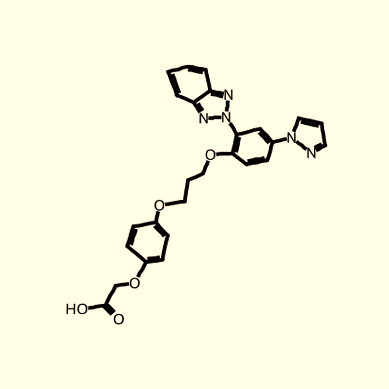 O=C(O)COc1ccc(OCCCOc2ccc(-n3cccn3)cc2-n2nc3ccccc3n2)cc1